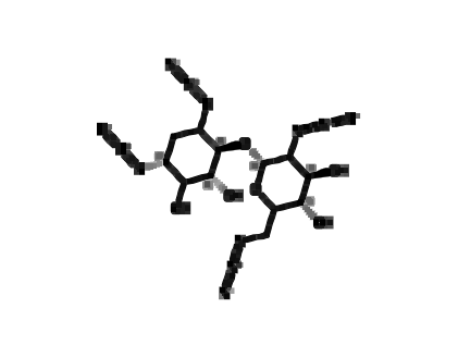 [N-]=[N+]=NCC1O[C@H](O[C@@H]2C(N=[N+]=[N-])C[C@@H](N=[N+]=[N-])C(O)[C@H]2O)C(N=[N+]=[N-])[C@@H](O)[C@@H]1O